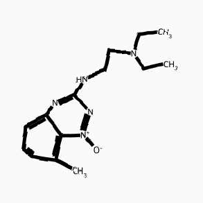 CCN(CC)CCNc1nc2cccc(C)c2[n+]([O-])n1